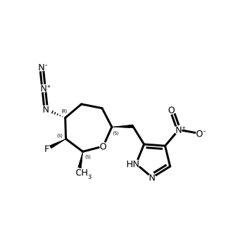 C[C@@H]1O[C@H](Cc2[nH]ncc2[N+](=O)[O-])CC[C@@H](N=[N+]=[N-])[C@@H]1F